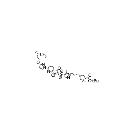 Cc1c(S(=O)(=O)NC(=O)c2ccc(-n3ccc(OCCC4(C(F)(F)F)CC4)n3)nc2Cl)cnn1CCC[C@@H]1CN(C(=O)OC(C)(C)C)C(C)(C)C1